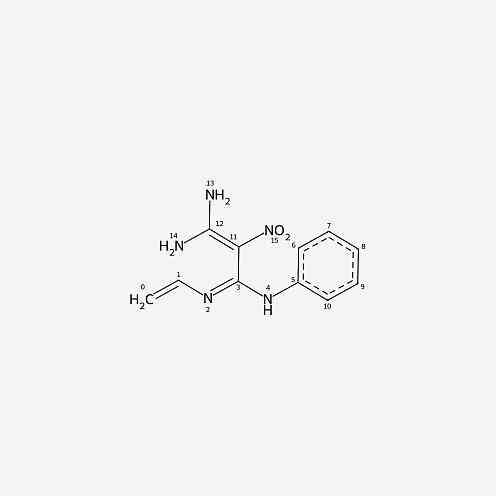 C=C/N=C(/Nc1ccccc1)C(=C(N)N)[N+](=O)[O-]